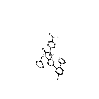 O=C(O)c1ccc(NC(=O)[C@@H](Cc2ccccc2)c2ccc(-c3cc(Cl)ccc3-c3cnco3)c[n+]2[O-])cc1